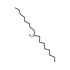 CCCCCCC[CH2][SnH2][CH2]CCCCCCC